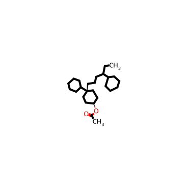 CCC(CCC[C@]1(C2CCCCC2)CC[C@@H](OC(C)=O)CC1)C1CCCCC1